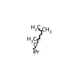 C=CC(C)CC/C=C(\C)COCCC(C)C